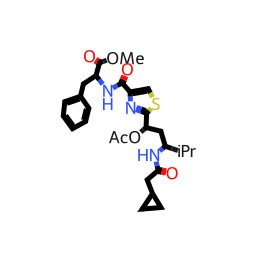 COC(=O)C(Cc1ccccc1)NC(=O)c1csc(C(CC(NC(=O)CC2CC2)C(C)C)OC(C)=O)n1